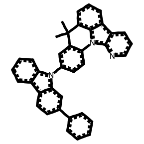 CC1(C)c2cc(-n3c4ccccc4c4ccc(-c5ccccc5)cc43)ccc2-n2c3ncccc3c3cccc1c32